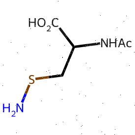 CC(=O)NC(CSN)C(=O)O